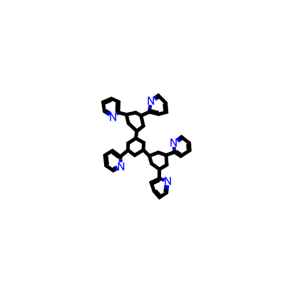 c1ccc(C2CC(c3ccccn3)CC(C3CC(c4ccccn4)CC(C4CC(c5ccccn5)CC(c5ccccn5)C4)C3)C2)nc1